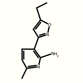 CCc1cc(-c2ccc(C)nc2N)no1